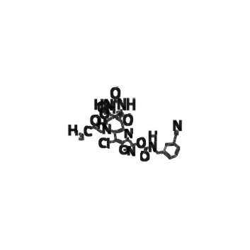 C[C@@H]1CN2c3c(nc4c(OC(=O)NCc5cccc(C#N)c5)noc4c3Cl)CC3(C(=O)NC(=O)NC3=O)[C@H]2[C@H](C)O1